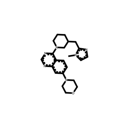 Cn1ccnc1CC1CCCN(c2ncnc3cc(N4CCOCC4)ccc23)C1